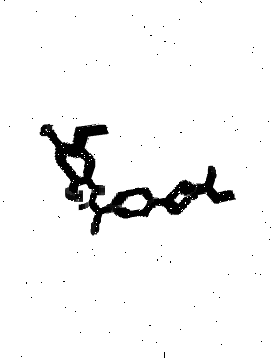 C=CC(=O)N1CC(N2CCN(C(=O)[C@H](C)Nc3cc(CC)c(Cl)cc3O)CC2)C1